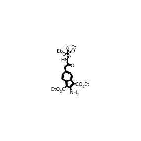 CCOC(=O)c1c2ccc(CC(=O)NOP(=O)(OCC)OCC)ccc-2c(C(=O)OCC)c1N